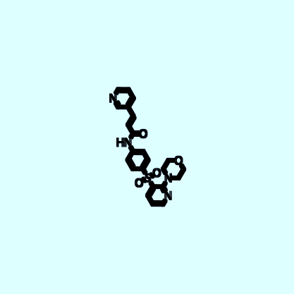 O=C(C=Cc1cccnc1)Nc1ccc(S(=O)(=O)c2cccnc2N2CCOCC2)cc1